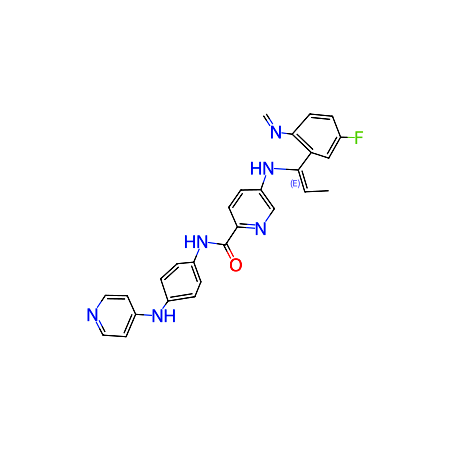 C=Nc1ccc(F)cc1/C(=C\C)Nc1ccc(C(=O)Nc2ccc(Nc3ccncc3)cc2)nc1